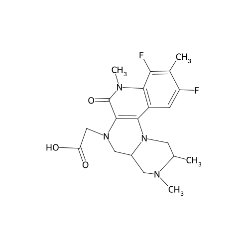 Cc1c(F)cc2c3c(c(=O)n(C)c2c1F)N(CC(=O)O)CC1CN(C)C(C)CN31